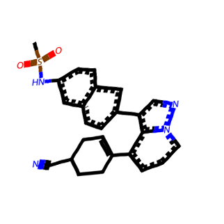 CS(=O)(=O)Nc1ccc2cc(-c3cnn4cccc(C5=CCC(C#N)CC5)c34)ccc2c1